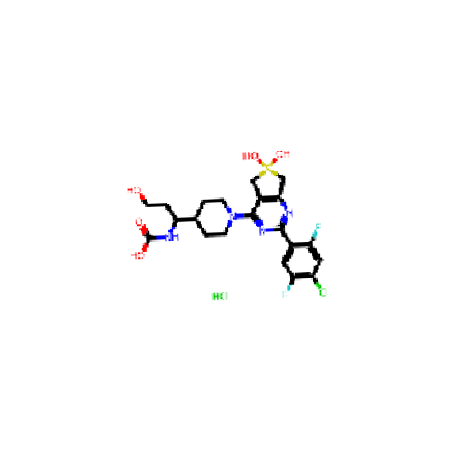 Cl.O=C(O)NC(CCO)C1CCN(c2nc(-c3cc(F)c(Cl)cc3F)nc3c2CS(O)(O)C3)CC1